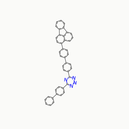 c1ccc(-c2ccc(-c3nnnc(-c4ccc(-c5ccc(-c6ccc7c8c(cccc68)-c6ccccc6-7)cc5)cc4)n3)cc2)cc1